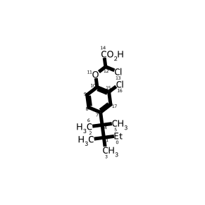 CCC(C)(C)C(C)(C)c1ccc(OC(Cl)C(=O)O)c(Cl)c1